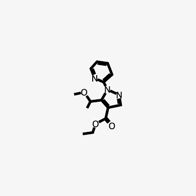 CCOC(=O)c1cnn(-c2ccccn2)c1C(C)OC